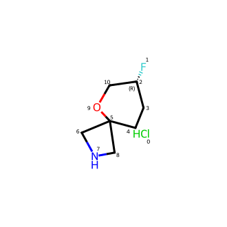 Cl.F[C@@H]1CCC2(CNC2)OC1